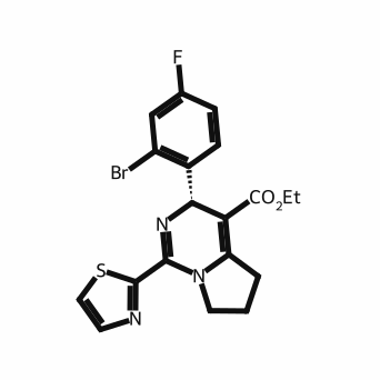 CCOC(=O)C1=C2CCCN2C(c2nccs2)=N[C@@H]1c1ccc(F)cc1Br